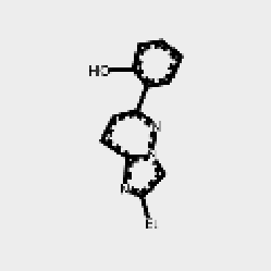 CCc1cn2nc(-c3ccccc3O)ccc2n1